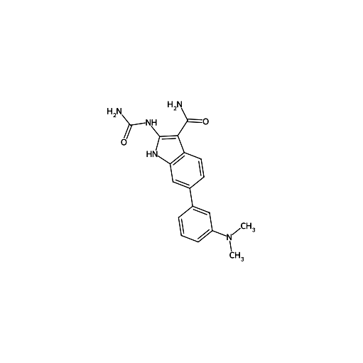 CN(C)c1cccc(-c2ccc3c(C(N)=O)c(NC(N)=O)[nH]c3c2)c1